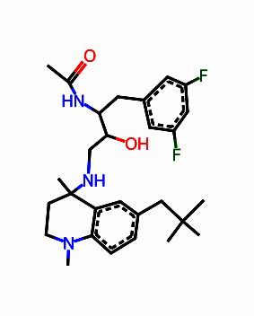 CC(=O)NC(Cc1cc(F)cc(F)c1)C(O)CNC1(C)CCN(C)c2ccc(CC(C)(C)C)cc21